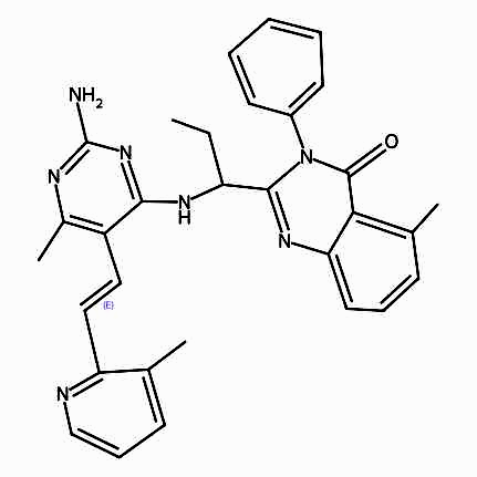 CCC(Nc1nc(N)nc(C)c1/C=C/c1ncccc1C)c1nc2cccc(C)c2c(=O)n1-c1ccccc1